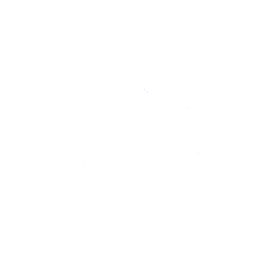 C=C1CCOc2cc(CC(=O)N[C@H](C)c3ccc(Br)cn3)ccc21